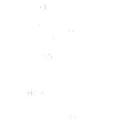 O=C(CCl)Nc1cccc(Br)c1C(=O)O